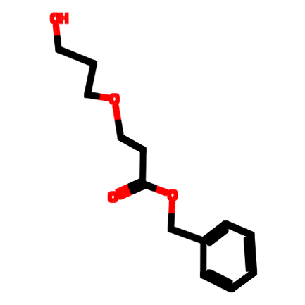 O=C(CCOCCCO)OCc1ccccc1